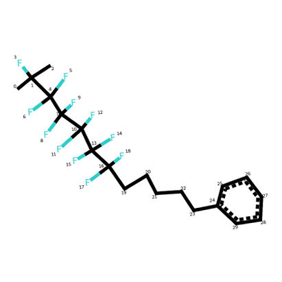 CC(C)(F)C(F)(F)C(F)(F)C(F)(F)C(F)(F)C(F)(F)CCCCCc1ccccc1